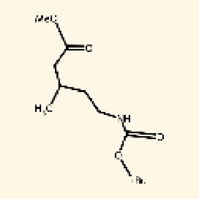 COC(=O)CC(C)CCNC(=O)OC(C)(C)C